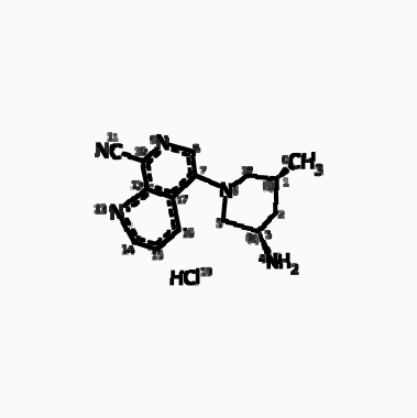 C[C@H]1C[C@@H](N)CN(c2cnc(C#N)c3ncccc23)C1.Cl